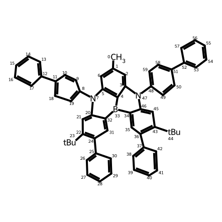 Cc1cc2c3c(c1)N(c1ccc(-c4ccccc4)cc1)c1cc(C(C)(C)C)c(-c4ccccc4)cc1B3c1cc(-c3ccccc3)c(C(C)(C)C)cc1N2c1ccc(-c2ccccc2)cc1